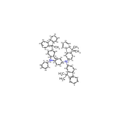 CC1(C)c2ccccc2-c2ccc(N(c3ccc4c(c3)C3C=CC=CC3C4(C)C)c3ccc4c(c3)c3cc(C5(C)c6ccccc6-c6ccccc65)ccc3n4-c3ccccc3)cc21